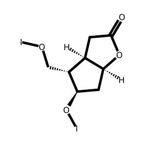 O=C1C[C@@H]2[C@@H](COI)[C@H](OI)C[C@@H]2O1